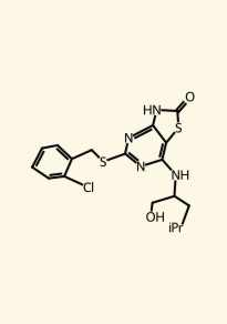 CC(C)CC(CO)Nc1nc(SCc2ccccc2Cl)nc2[nH]c(=O)sc12